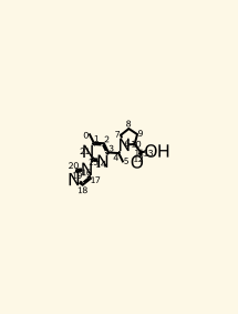 Cc1cc(C(C)N2CCCC2C(=O)O)nc(-n2ccnc2)n1